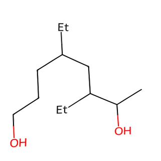 CCC(CCCO)CC(CC)C(C)O